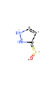 O=S=c1cc[nH][nH]1